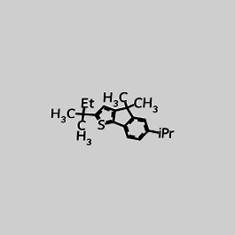 CCC(C)(C)c1cc2c(s1)-c1ccc(C(C)C)cc1C2(C)C